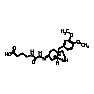 COc1ccc(C[C@@]23CCN[C@H]2CC(=NNC(=O)NCCCC(=O)O)CC3)cc1OC